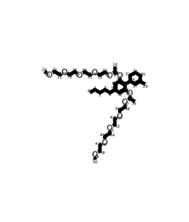 CCCCCc1cc(OC(C)OCCOCCOCCOCCOC)c(C2C=C(C)CCC2)c(OC(C)OCCOCCOCCOCCOC)c1